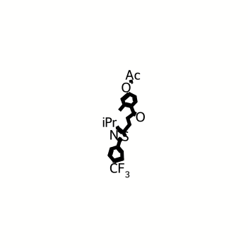 CC(=O)COc1ccc(C(=O)CCc2sc(-c3ccc(C(F)(F)F)cc3)nc2C(C)C)c(C)c1